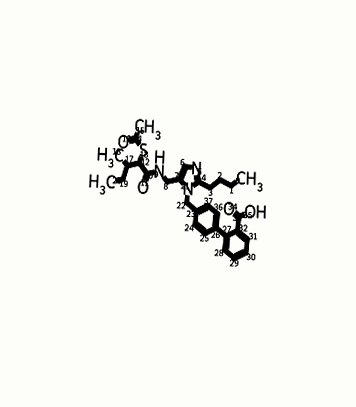 CCCCc1ncc(CNC(=O)C(SC(C)=O)C(C)CC)n1Cc1ccc(-c2ccccc2C(=O)O)cc1